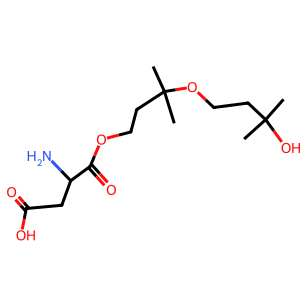 CC(C)(O)CCOC(C)(C)CCOC(=O)C(N)CC(=O)O